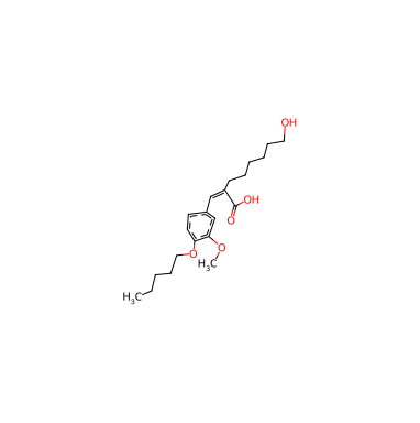 CCCCCOc1ccc(C=C(CCCCCCO)C(=O)O)cc1OC